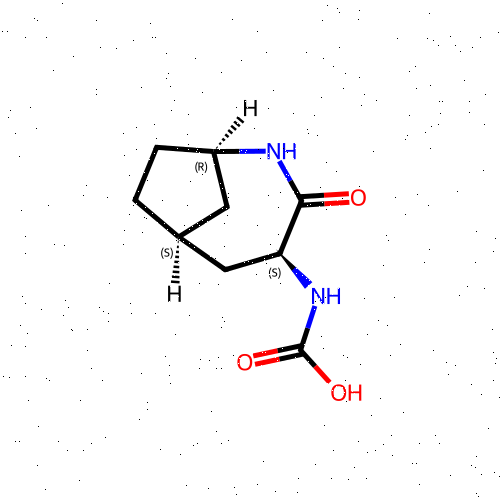 O=C(O)N[C@H]1C[C@H]2CC[C@H](C2)NC1=O